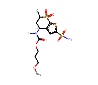 CCN(C(=O)OCCCO[N+](=O)[O-])[C@H]1CC(C)S(=O)(=O)c2sc(S(N)(=O)=O)cc21